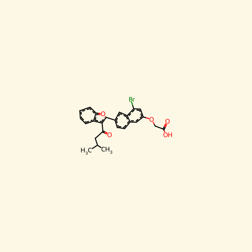 CC(C)CC(=O)c1c(-c2ccc3cc(OCC(=O)O)cc(Br)c3c2)oc2ccccc12